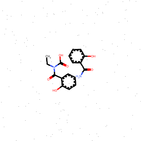 CCN(C(=O)O)C(=O)c1ccccc1O.NC(=O)c1ccccc1O